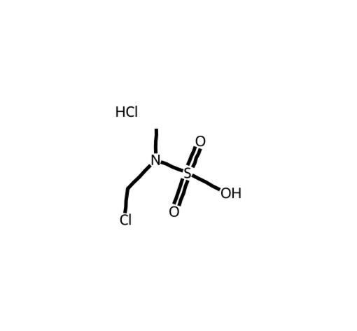 CN(CCl)S(=O)(=O)O.Cl